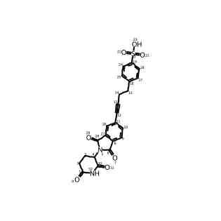 O=C1CCC(N2C(=O)c3ccc(C#CCCc4ccc(S(=O)(=O)O)cc4)cc3C2=O)C(=O)N1